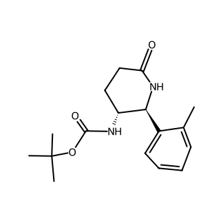 Cc1ccccc1[C@@H]1NC(=O)CC[C@H]1NC(=O)OC(C)(C)C